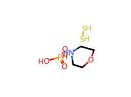 C1COCCN1.O=[PH](O)O.SS